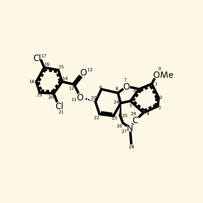 COc1ccc2c3c1OC1C[C@@H](OC(=O)c4cc(Cl)ccc4Cl)C=C[C@@]31CCN(C)C2